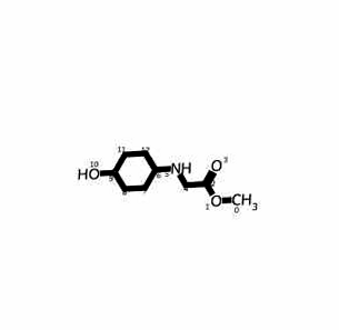 COC(=O)CNC1CCC(O)CC1